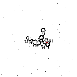 COC(=O)c1cc(CNC(=O)C(=C(C#N)C#N)C(Cc2cc(C)cc(C)c2)(c2cccc(CN3CCCCC3)c2)N2CCNC2)n(C(C)C)n1